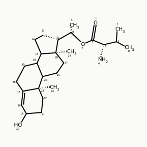 CC(C)[C@H](N)C(=O)O[C@@H](C)[C@H]1CCC2C3CCC4=CC(O)CC[C@]4(C)C3CC[C@@]21C